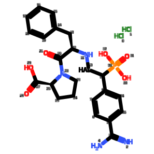 Cl.Cl.N=C(N)c1ccc(C([AsH]N[C@H](Cc2ccccc2)C(=O)N2CCC[C@H]2C(=O)O)P(=O)(O)O)cc1